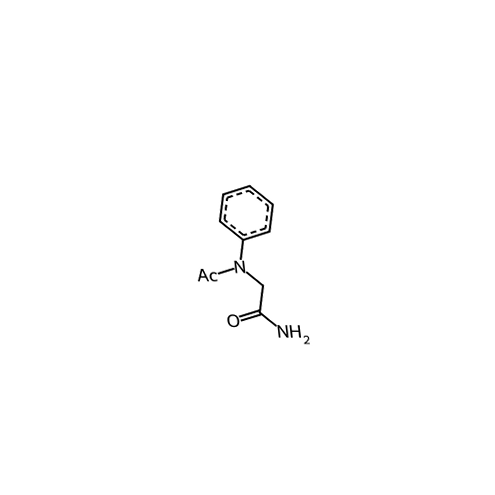 CC(=O)N(CC(N)=O)c1ccccc1